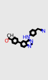 CC(=O)c1ccc(-c2ccc3ncnc(Nc4ccc(CC#N)cc4)c3c2)cc1